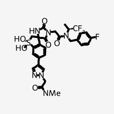 CNC(=O)Cn1cc(-c2ccc3c(c2)S(O)(O)CC32NC(=O)N(CC(=O)N(Cc3ccc(F)cc3)[C@@H](C)C(F)(F)F)C2=O)cn1